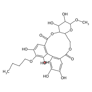 CCCCOc1c(O)cc2c(c1O)-c1c(cc(O)c(O)c1O)C(=O)OCC1OC(OC)C(O)C(O)C1OC2=O